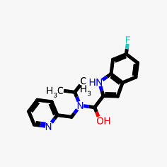 CC(C)N(Cc1ccccn1)C(O)c1cc2ccc(F)cc2[nH]1